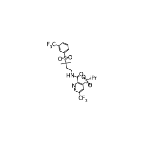 CC(C)S(=O)(=O)c1cc(C(F)(F)F)cnc1C(=O)NCCC(C)(C)S(=O)(=O)c1cccc(C(F)(F)F)c1